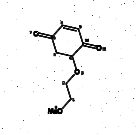 COCCOC1CC(=O)C=CC1=O